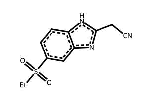 CCS(=O)(=O)c1ccc2[nH]c(CC#N)nc2c1